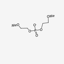 COCCOP([O])(=O)OCCOC